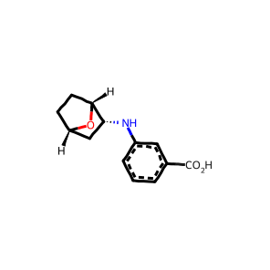 O=C(O)c1cccc(N[C@@H]2C[C@@H]3CC[C@H]2O3)c1